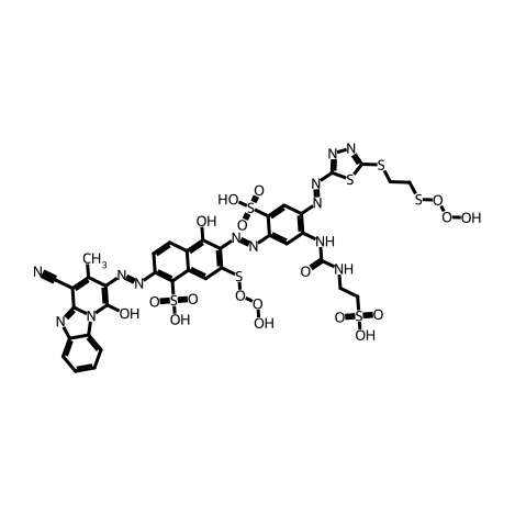 Cc1c(N=Nc2ccc3c(O)c(N=Nc4cc(NC(=O)NCCS(=O)(=O)O)c(N=Nc5nnc(SCCSOOO)s5)cc4S(=O)(=O)O)c(SOOO)cc3c2S(=O)(=O)O)c(O)n2c(nc3ccccc32)c1C#N